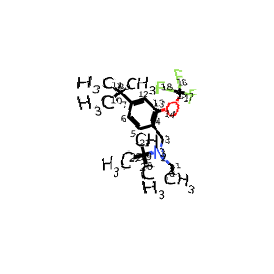 CCN(Cc1ccc(C(C)(C)C)cc1OC(F)(F)F)C(C)(C)C